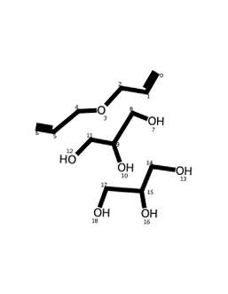 C=CCOCC=C.OCC(O)CO.OCC(O)CO